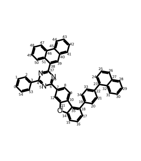 c1ccc(-c2nc(-c3ccc4c(c3)oc3cccc(-c5ccc(-c6cccc7ccccc67)cc5)c34)nc(-c3cc4ccccc4c4ccccc34)n2)cc1